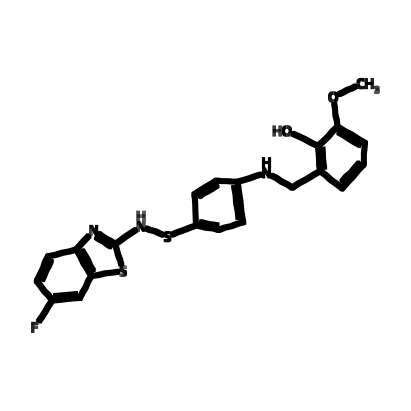 COc1cccc(CNc2ccc(SNc3nc4ccc(F)cc4s3)cc2)c1O